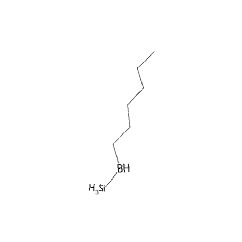 CCCCCCB[SiH3]